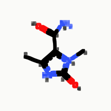 Cc1[nH]c(=O)n(C)c1C(N)=O